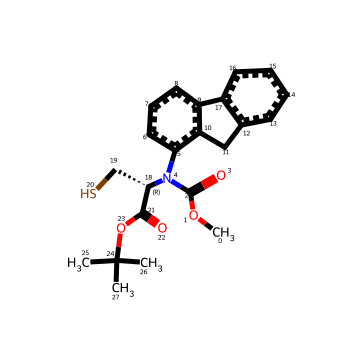 COC(=O)N(c1cccc2c1Cc1ccccc1-2)[C@@H](CS)C(=O)OC(C)(C)C